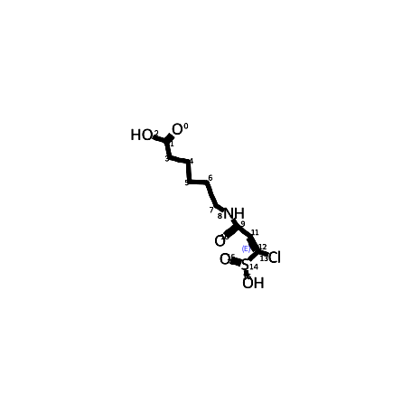 O=C(O)CCCCCNC(=O)/C=C(/Cl)S(=O)O